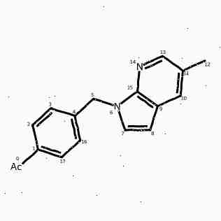 CC(=O)c1ccc(Cn2ccc3cc(C)cnc32)cc1